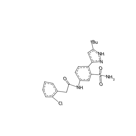 CC(C)(C)c1cc(-c2ccc(NC(=O)Cc3ccccc3Cl)cc2S(N)(=O)=O)n[nH]1